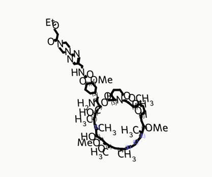 CCOCCC(=O)N1CCN(c2ncc(CNC(=O)O[C@@H]3CC[C@@H](C[C@@H](N)[C@@H]4C[C@@H](O)[C@H](C)/C=C(\C)[C@@H](O)[C@@H](OC)C(=O)[C@H](C)C[C@H](C)/C=C/C=C/C=C(\C)[C@@H](OC)C[C@@H]5CC[C@@H](C)[C@@](O)(O5)C(=O)C(=O)N5CCCC[C@H]5C(=O)O4)C[C@H]3OC)cn2)CC1